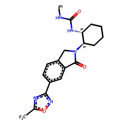 CC(C)NC(=O)N[C@@H]1CCCC[C@H]1N1Cc2ccc(-c3noc(C(F)(F)F)n3)cc2C1=O